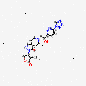 CC1=C(N2N=CC3(CCN(CC(O)c4ccc(-n5cnnn5)nn4)CC3)C2=O)COC1=O